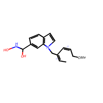 C/C=C(\C=C/COC)Cn1ccc2ccc(C(O)NO)cc21